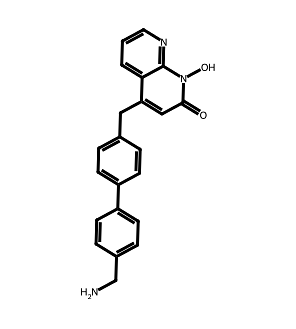 NCc1ccc(-c2ccc(Cc3cc(=O)n(O)c4ncccc34)cc2)cc1